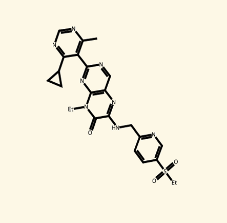 CCn1c(=O)c(NCc2ccc(S(=O)(=O)CC)cn2)nc2cnc(-c3c(C)ncnc3C3CC3)nc21